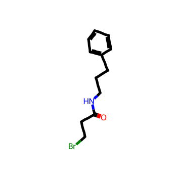 O=C(CCBr)NCCCc1ccccc1